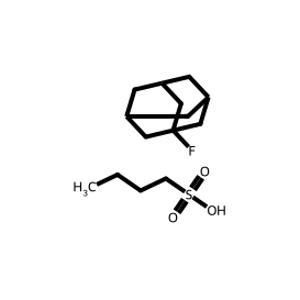 CCCCS(=O)(=O)O.FC12CC3CC(CC(C3)C1)C2